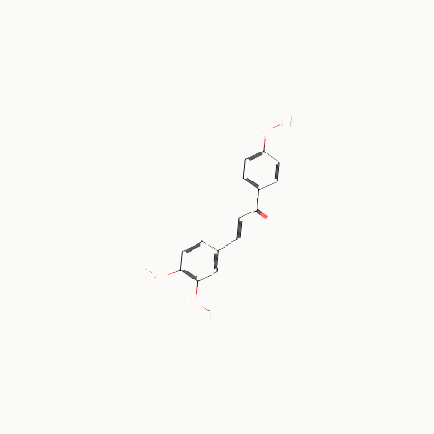 CCCOc1ccc(C(=O)C=Cc2ccc(OCC)c(OCC)c2)cc1